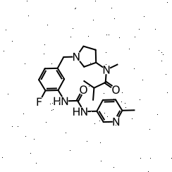 Cc1ccc(NC(=O)Nc2cc(CN3CCC(N(C)C(=O)C(C)C)C3)ccc2F)cn1